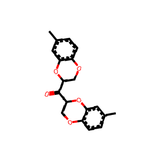 Cc1ccc2c(c1)OC(C(=O)C1COc3ccc(C)cc3O1)CO2